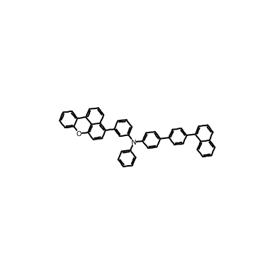 c1ccc(N(c2ccc(-c3ccc(-c4cccc5ccccc45)cc3)cc2)c2cccc(-c3ccc4c5c(cccc35)-c3ccccc3O4)c2)cc1